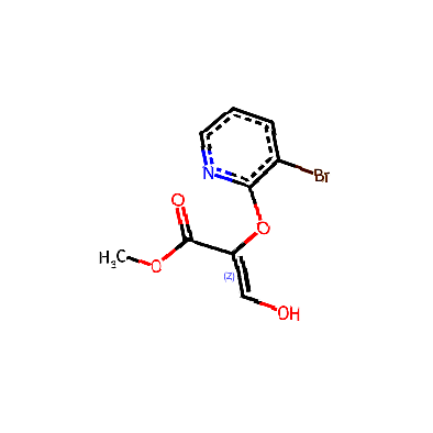 COC(=O)/C(=C/O)Oc1ncccc1Br